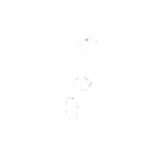 CC(=O)NCCC(C)c1ccc(-c2ccc(F)cc2)cc1